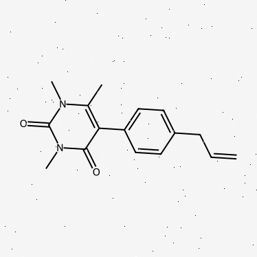 C=CCc1ccc(-c2c(C)n(C)c(=O)n(C)c2=O)cc1